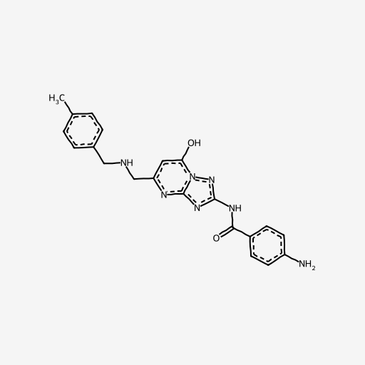 Cc1ccc(CNCc2cc(O)n3nc(NC(=O)c4ccc(N)cc4)nc3n2)cc1